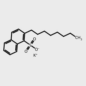 CCCCCCCCc1ccc2ccccc2c1S(=O)(=O)[O-].[K+]